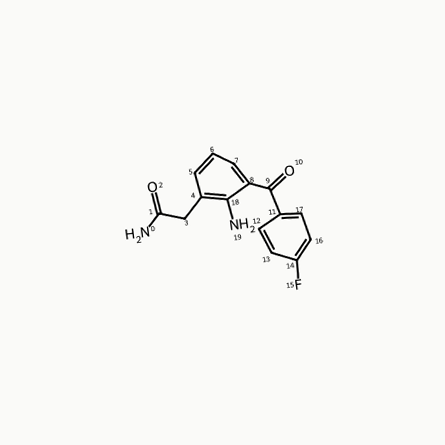 NC(=O)Cc1cccc(C(=O)c2ccc(F)cc2)c1N